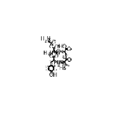 C[C@@H](OC(=O)[C@@H](N)Cc1ccc(O)cc1)[C@H](N)C(=O)OC(=O)CN.N[C@@H](COC(=O)[C@@H](N)CS)C(=O)O